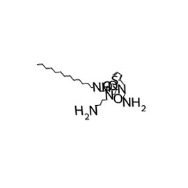 CCCCCCCCCCCCCNCC(=O)N(CCCCN)CC(=O)N(CC(N)=O)Cc1cccs1